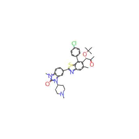 CC(=O)[C@@H](OC(C)(C)C)c1c(C)cc2nc(-c3ccc4c(c3)n(C3CCN(C)CC3)c(=O)n4C)sc2c1-c1ccc(Cl)cc1